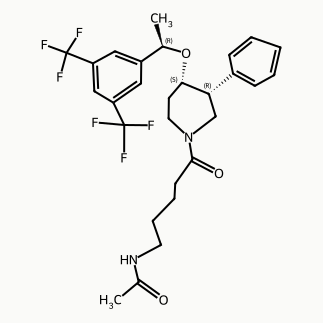 CC(=O)NCCCCC(=O)N1CC[C@H](O[C@H](C)c2cc(C(F)(F)F)cc(C(F)(F)F)c2)[C@H](c2ccccc2)C1